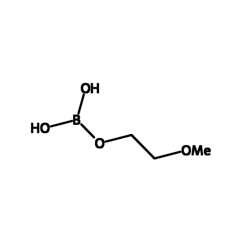 COCCOB(O)O